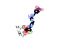 COc1cc(OC)c(-c2cn3ccc(N4CC[C@H](NCc5ccc([N+](=O)[O-])cc5)C4)cc3n2)cc1Cl